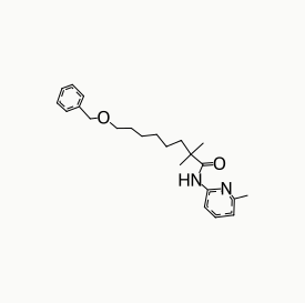 Cc1cccc(NC(=O)C(C)(C)CCCCCCOCc2ccccc2)n1